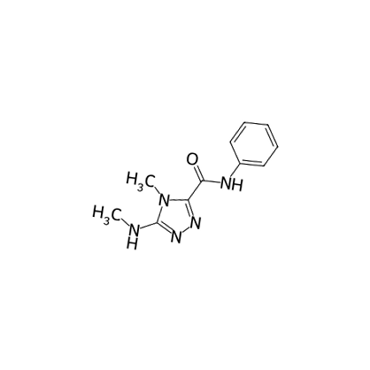 CNc1nnc(C(=O)Nc2ccccc2)n1C